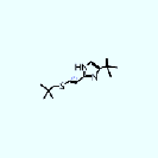 CC(C)(C)CS/C=C/c1nc(C(C)(C)C)c[nH]1